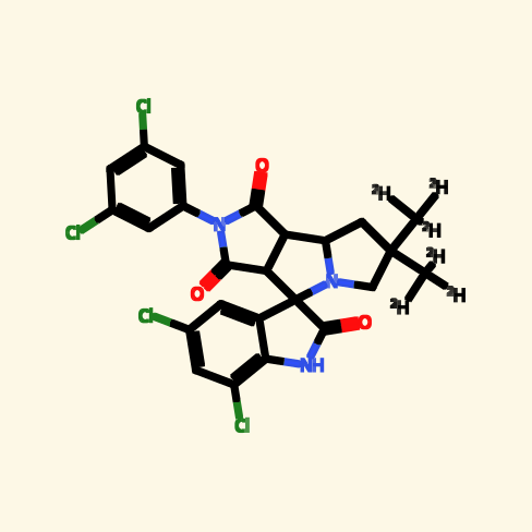 [2H]C([2H])([2H])C1(C([2H])([2H])[2H])CC2C3C(=O)N(c4cc(Cl)cc(Cl)c4)C(=O)C3C3(C(=O)Nc4c(Cl)cc(Cl)cc43)N2C1